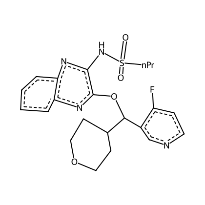 CCCS(=O)(=O)Nc1nc2ccccc2nc1OC(c1cnccc1F)C1CCOCC1